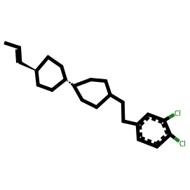 C/C=C/[C@H]1CC[C@H](C2CCC(CCc3ccc(Cl)c(Cl)c3)CC2)CC1